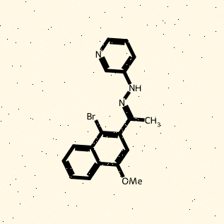 COc1cc(C(C)=NNc2cccnc2)c(Br)c2ccccc12